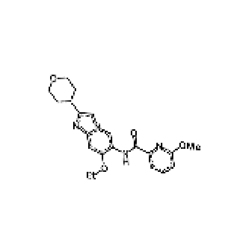 CCOc1cc2nc(C3CCOCC3)cn2cc1NC(=O)c1cccc(OC)n1